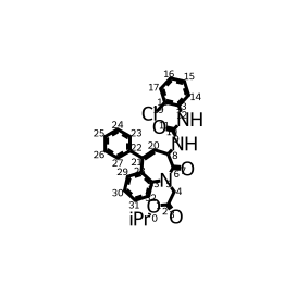 CC(C)OC(=O)CN1C(=O)C(NC(=O)Nc2ccccc2Cl)C=C(c2ccccc2)c2ccccc21